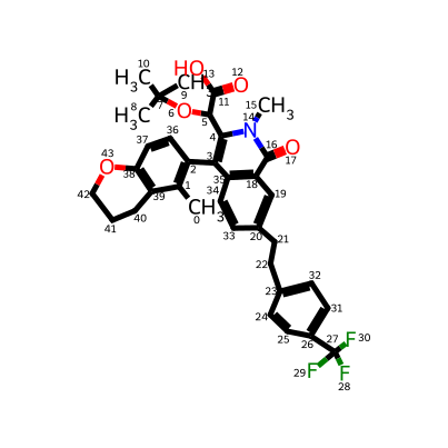 Cc1c(-c2c(C(OC(C)(C)C)C(=O)O)n(C)c(=O)c3cc(CCc4ccc(C(F)(F)F)cc4)ccc23)ccc2c1CCCO2